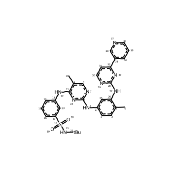 Cc1ccc(Nc2ncc(C)c(Nc3cccc(S(=O)(=O)NC(C)(C)C)c3)n2)cc1Nc1nccc(-c2cccnc2)n1